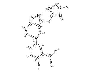 Cc1noc(Cn2ncc3ncc(-c4ccc(F)c(C(F)F)c4)cc32)n1